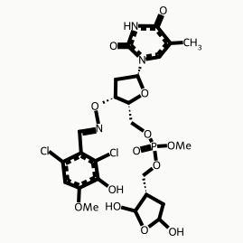 COc1cc(Cl)c(/C=N/O[C@@H]2C[C@H](n3cc(C)c(=O)[nH]c3=O)O[C@@H]2COP(=O)(OC)OC[C@@H]2CC(O)OC2O)c(Cl)c1O